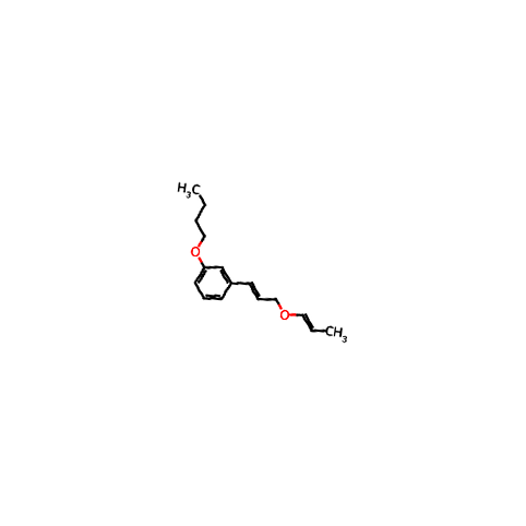 C/C=C/OC/C=C/c1cccc(OCCCC)c1